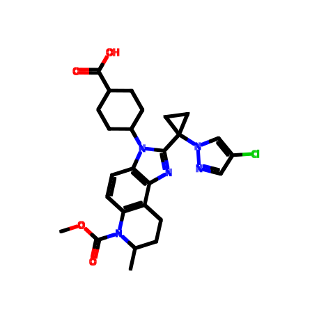 COC(=O)N1c2ccc3c(nc(C4(n5cc(Cl)cn5)CC4)n3C3CCC(C(=O)O)CC3)c2CCC1C